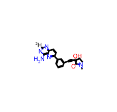 [2H]c1nc(N)c2nc(-c3cccc(C#C[C@@]4(O)CCN(C)C4=O)c3)ccc2n1